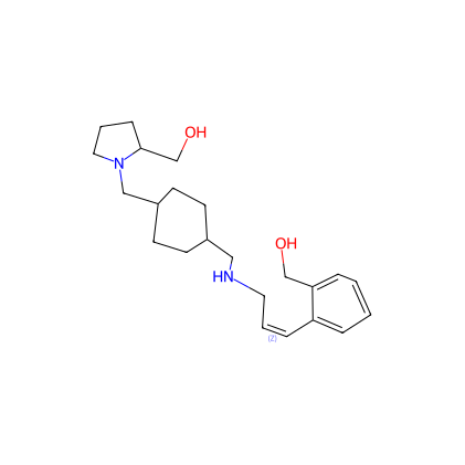 OCc1ccccc1/C=C\CNCC1CCC(CN2CCCC2CO)CC1